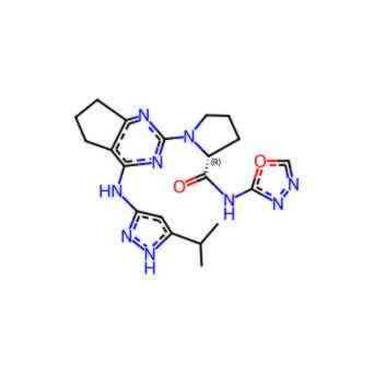 CC(C)c1cc(Nc2nc(N3CCC[C@@H]3C(=O)Nc3nnco3)nc3c2CCC3)n[nH]1